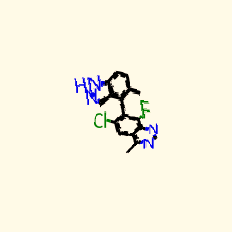 Cc1ccc2[nH]ncc2c1-c1c(Cl)cc2c(C)ncnc2c1F